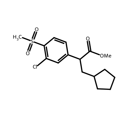 COC(=O)C(CC1CCCC1)c1ccc(S(C)(=O)=O)c(Cl)c1